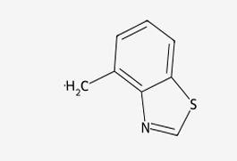 [CH2]c1cccc2scnc12